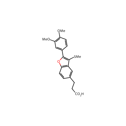 COc1ccc(-c2oc3ccc(CCC(=O)O)cc3c2SC)cc1OC